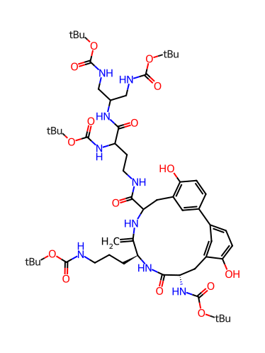 C=C1NC(C(=O)NCCC(NC(=O)OC(C)(C)C)C(=O)NC(CNC(=O)OC(C)(C)C)CNC(=O)OC(C)(C)C)Cc2cc(ccc2O)-c2ccc(O)c(c2)C[C@H](NC(=O)OC(C)(C)C)C(=O)N[C@H]1CCCNC(=O)OC(C)(C)C